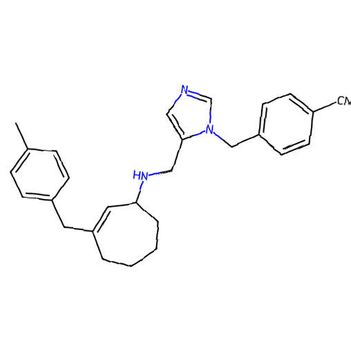 Cc1ccc(CC2=CC(NCc3cncn3Cc3ccc(C#N)cc3)CCCC2)cc1